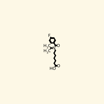 CC(C)N(CCCCCCC(=O)O)C(=O)c1ccc(F)cc1